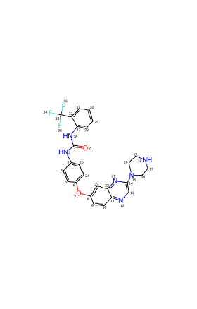 O=C(Nc1ccc(Oc2ccc3ncc(N4CCNCC4)nc3c2)cc1)Nc1ccccc1C(F)(F)F